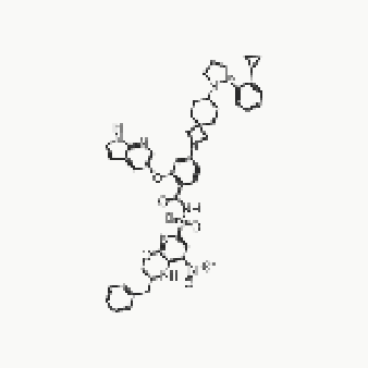 O=C(NS(=O)(=O)c1cc([N+](=O)[O-])c2c(n1)OCC(Cc1ccccc1)N2)c1ccc(N2CC3(CCC(N4CCC[C@H]4c4ccccc4C4CC4)CC3)C2)cc1Oc1cnc2[nH]ccc2c1